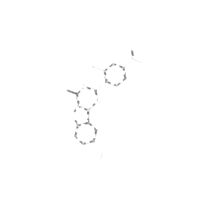 COc1ccc2oc3c(=O)[nH]c(-c4ccc([N+](=O)[O-])cc4Cl)nc3c2c1